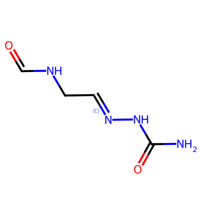 NC(=O)N/N=C/CNC=O